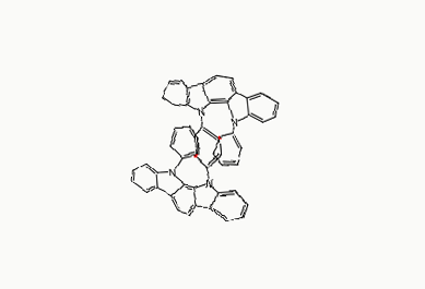 C1=CCCC(n2c3ccccc3c3ccc4c5c(n(-c6ccc(-n7c8ccccc8c8ccc9c%10ccccc%10n(-c%10ccccc%10)c9c87)cc6)c4c32)CCC=C5)=C1